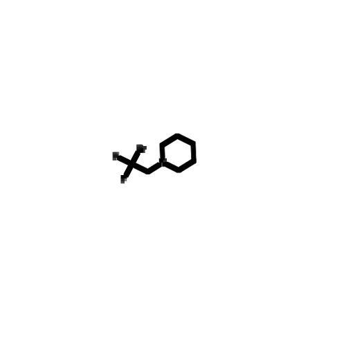 FC(F)(Br)CN1CCCCC1